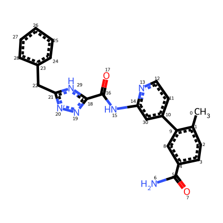 Cc1ccc(C(N)=O)cc1-c1ccnc(NC(=O)c2nnc(Cc3ccccc3)[nH]2)c1